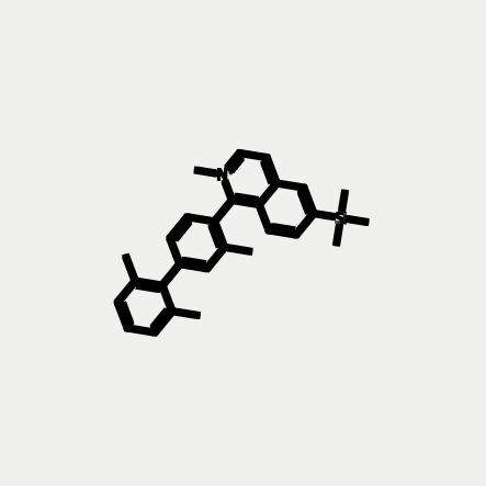 Cc1cc(-c2c(C)cccc2C)ccc1-c1c2ccc([Si](C)(C)C)cc2cc[n+]1C